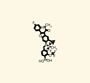 CNC(=O)c1c(-c2ccc(F)cc2)oc2cc(N(Cc3ccc(B(O)O)c(OC(F)(F)F)c3)S(C)(=O)=O)c(C3CC3)cc12